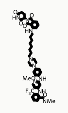 CNC(=O)c1ccccc1Nc1cc(Nc2ccc(N3CCN(CCCCCCCCNc4cccc5c4C(=O)N(C4CCC(=O)NC4=O)C5=O)CC3)cc2OC)ncc1C(F)(F)F